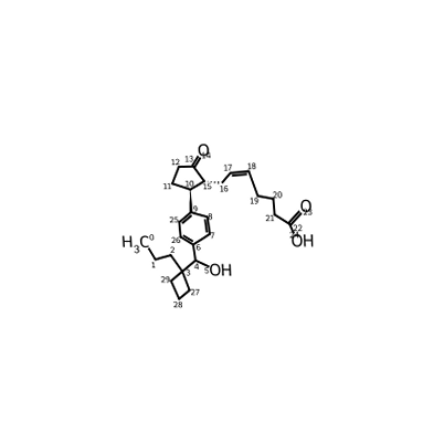 CCCC1(C(O)c2ccc([C@H]3CCC(=O)[C@@H]3C/C=C\CCCC(=O)O)cc2)CCC1